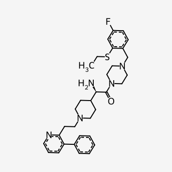 CCSc1cc(F)ccc1CN1CCN(C(=O)[C@H](N)C2CCN(CCc3ncccc3-c3ccccc3)CC2)CC1